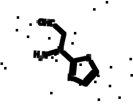 NN(C[C]=O)c1nccs1